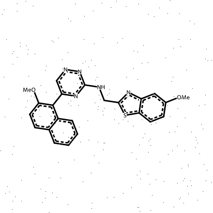 COc1ccc2sc(CNc3nncc(-c4c(OC)ccc5ccccc45)n3)nc2c1